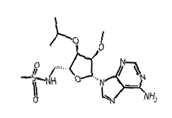 CO[C@@H]1[C@H](OC(C)C)[C@@H](CNS(C)(=O)=O)O[C@H]1n1cnc2c(N)ncnc21